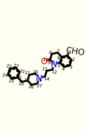 O=Cc1cccc2c1CCC(=O)N2CCCN1CCC(Cc2ccccc2)CC1